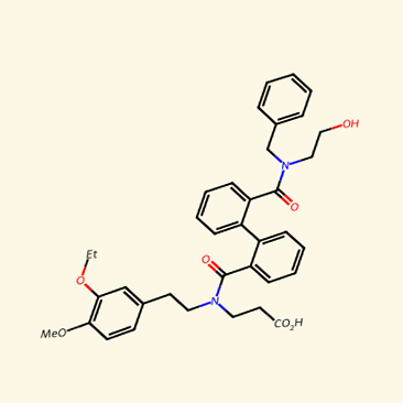 CCOc1cc(CCN(CCC(=O)O)C(=O)c2ccccc2-c2ccccc2C(=O)N(CCO)Cc2ccccc2)ccc1OC